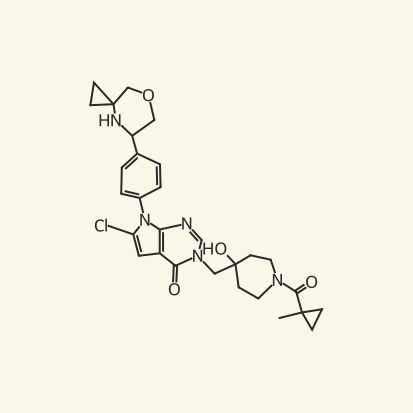 CC1(C(=O)N2CCC(O)(Cn3cnc4c(cc(Cl)n4-c4ccc(C5COCC6(CC6)N5)cc4)c3=O)CC2)CC1